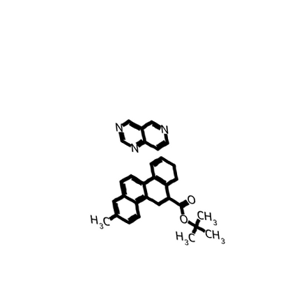 Cc1ccc2c3c(ccc2c1)C1=C(CCC=C1)C(C(=O)OC(C)(C)C)C3.c1cc2ncncc2cn1